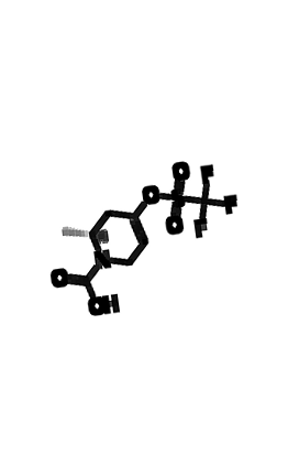 C[C@@H]1CC(OS(=O)(=O)C(F)(F)F)=CCN1C(=O)O